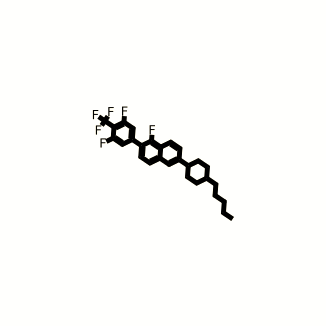 CCCCCC1CCC(c2ccc3c(F)c(-c4cc(F)c(C(F)(F)F)c(F)c4)ccc3c2)CC1